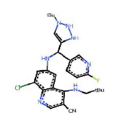 CC(C)(C)CNc1c(C#N)cnc2c(Cl)cc(NC(C3=CN(C(C)(C)C)NN3)c3ccc(F)nc3)cc12